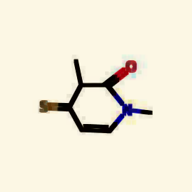 CC1C(=O)N(C)C=CC1=S